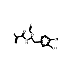 C=C(C)C(=O)NC(Cc1ccc(O)c(O)c1)OC=O